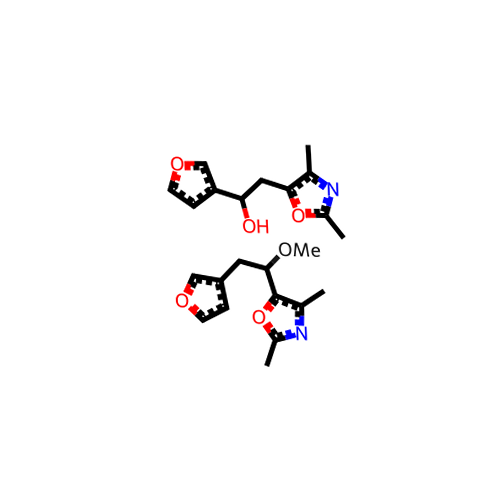 COC(Cc1ccoc1)c1oc(C)nc1C.Cc1nc(C)c(CC(O)c2ccoc2)o1